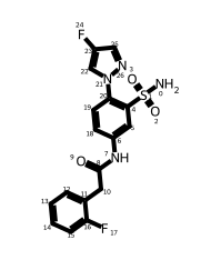 NS(=O)(=O)c1cc(NC(=O)Cc2ccccc2F)ccc1-n1cc(F)cn1